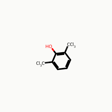 Oc1c(C(Cl)(Cl)Cl)cccc1C(Cl)(Cl)Cl